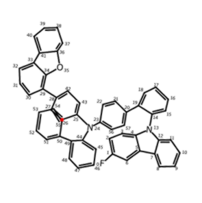 Fc1ccc2c(c1)c1ccccc1n2-c1ccccc1-c1ccc(N(c2ccc(-c3cccc4c3oc3ccccc34)cc2)c2ccccc2-c2ccccc2)cc1